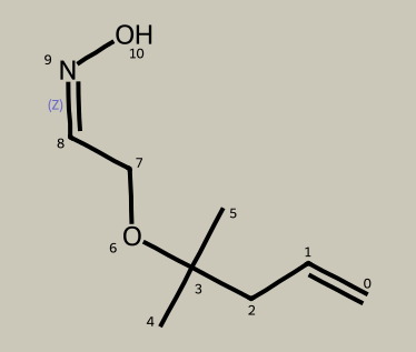 C=CCC(C)(C)OC/C=N\O